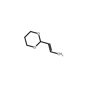 CC=CC1OCCCO1